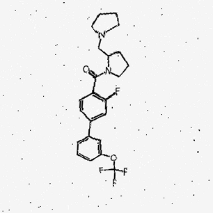 O=C(c1ccc(-c2cccc(OC(F)(F)F)c2)cc1F)N1CCCC1CN1CCCC1